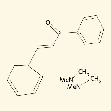 CNC.CNC.O=C(C=Cc1ccccc1)c1ccccc1